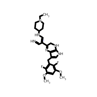 CCN1CCC(N/C=C(\C=N)C2=Nc3c(Cc4c(F)c(OC)cc(OC)c4F)c[nH]c3NC2)CC1